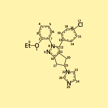 CCOc1ccccc1-n1nc2c(c1-c1ccc(Cl)cc1)CC(n1ccnc1)C2